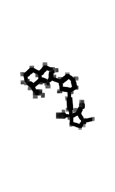 CN1CC[C@](O)(C#Cc2cccc(-c3ncc4ccnc(N)c4n3)c2)C1=O